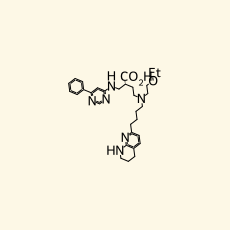 CCOCCN(CCCCc1ccc2c(n1)NCCC2)CC[C@H](CNc1cc(-c2ccccc2)ncn1)C(=O)O